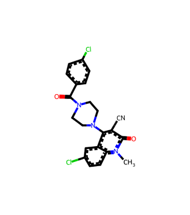 Cn1c(=O)c(C#N)c(N2CCN(C(=O)c3ccc(Cl)cc3)CC2)c2cc(Cl)ccc21